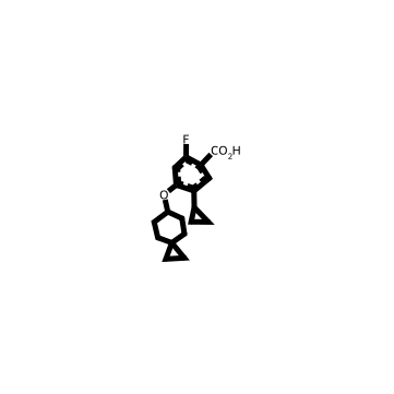 O=C(O)c1cc(C2CC2)c(OC2CCC3(CC2)CC3)cc1F